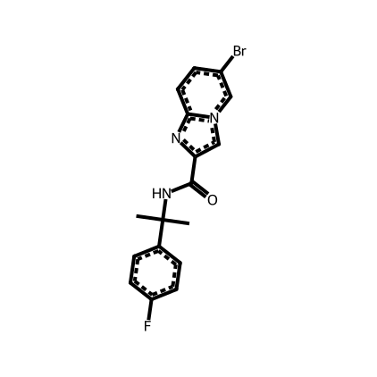 CC(C)(NC(=O)c1cn2cc(Br)ccc2n1)c1ccc(F)cc1